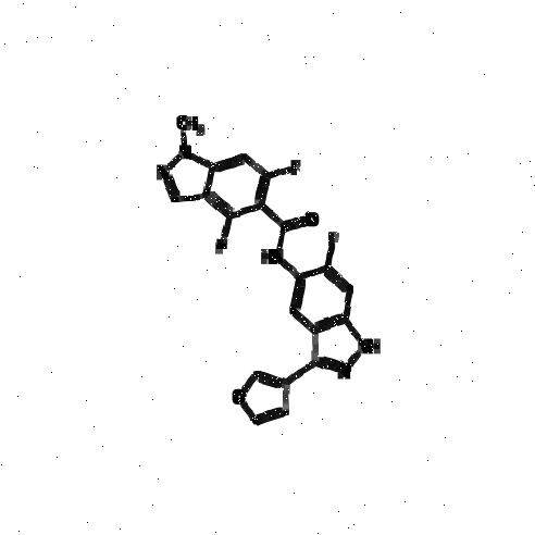 Cn1ncc2c(F)c(C(=O)Nc3cc4c(-c5ccoc5)n[nH]c4cc3F)c(F)cc21